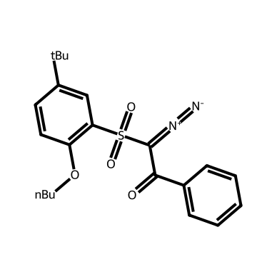 CCCCOc1ccc(C(C)(C)C)cc1S(=O)(=O)C(=[N+]=[N-])C(=O)c1ccccc1